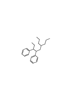 CCCC(CCC)CC(c1ccccc1)C(CC)c1ccccc1